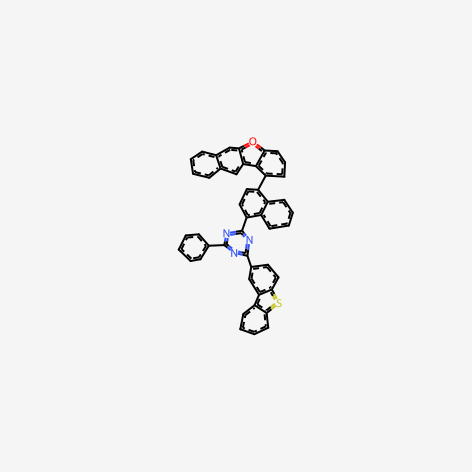 c1ccc(-c2nc(-c3ccc4sc5ccccc5c4c3)nc(-c3ccc(-c4cccc5oc6cc7ccccc7cc6c45)c4ccccc34)n2)cc1